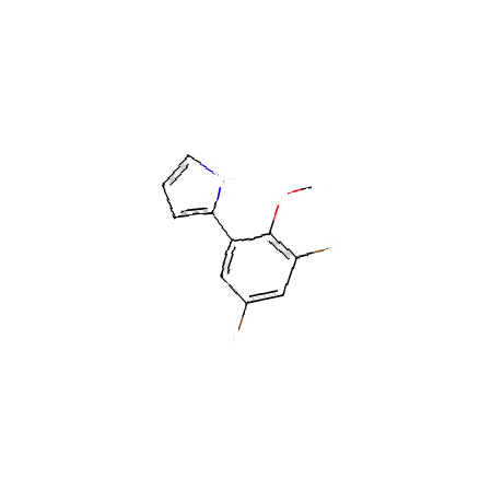 CC(C)Oc1c(Br)cc(Br)cc1-c1ccc[nH]1